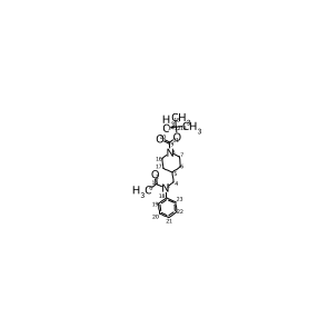 CC(=O)N(CC1CCN(C(=O)OC(C)(C)C)CC1)c1ccccc1